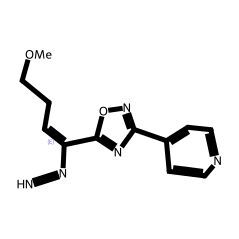 COCC/C=C(/N=N)c1nc(-c2ccncc2)no1